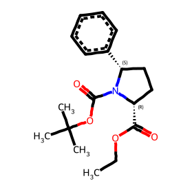 CCOC(=O)[C@H]1CC[C@@H](c2ccccc2)N1C(=O)OC(C)(C)C